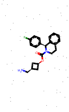 NC[C@H]1C[C@@H](OC(=O)N2CCc3ccccc3[C@@H]2c2ccc(F)cc2)C1